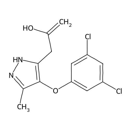 C=C(O)Cc1[nH]nc(C)c1Oc1cc(Cl)cc(Cl)c1